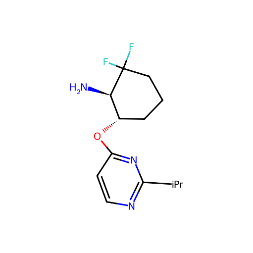 CC(C)c1nccc(O[C@H]2CCCC(F)(F)[C@@H]2N)n1